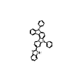 c1ccc(-n2c3ccccc3c3c4c5ccc(-c6nc7ccccc7[nH]6)cc5n(-c5ccccc5)c4ccc32)cc1